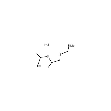 CNCSCC(C)S[CH](C)[Sn].Cl